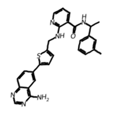 Cc1cccc(C(C)NC(=O)c2cccnc2NCc2ccc(-c3ccc4ncnc(N)c4c3)s2)c1